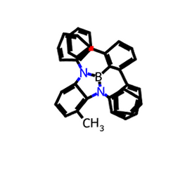 Cc1cccc2c1N(c1ccccc1)B(c1c(-c3ccccc3)cccc1-c1ccccc1)N2c1ccccc1